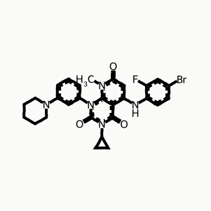 Cn1c(=O)cc(Nc2ccc(Br)cc2F)c2c(=O)n(C3CC3)c(=O)n(-c3cccc(N4CCCCC4)c3)c21